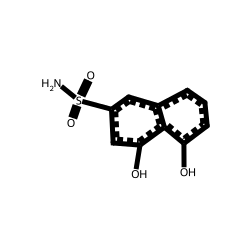 NS(=O)(=O)c1cc(O)c2c(O)cccc2c1